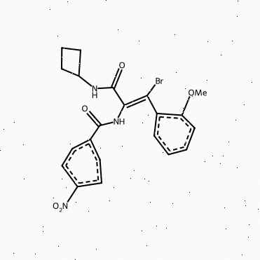 COc1ccccc1C(Br)=C(NC(=O)c1ccc([N+](=O)[O-])cc1)C(=O)NC1CCC1